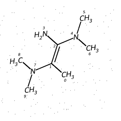 CC(=C(N)N(C)C)N(C)C